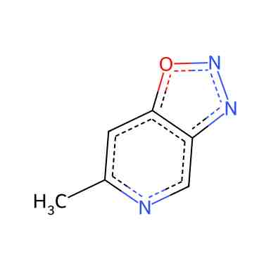 Cc1cc2onnc2cn1